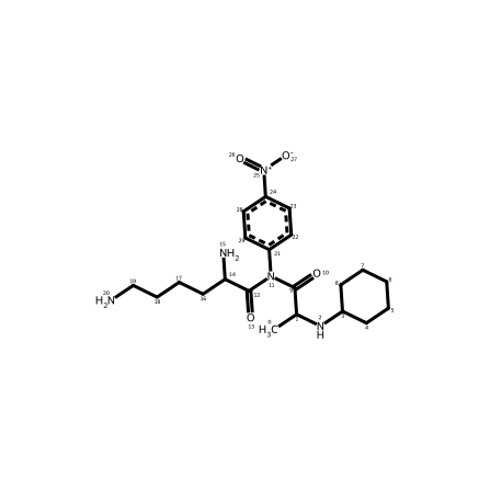 CC(NC1CCCCC1)C(=O)N(C(=O)C(N)CCCCN)c1ccc([N+](=O)[O-])cc1